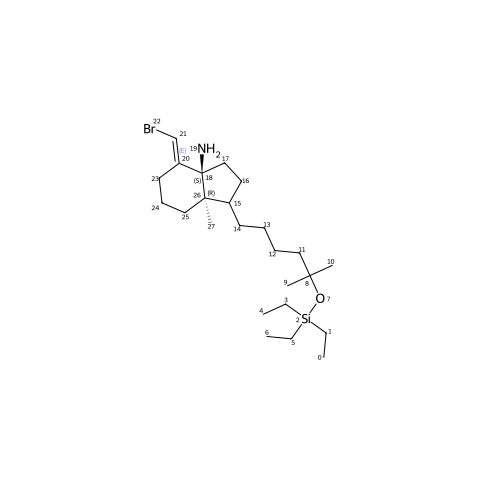 CC[Si](CC)(CC)OC(C)(C)CCCCC1CC[C@@]2(N)/C(=C/Br)CCC[C@]12C